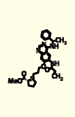 C=CC(=O)Nc1cc2c(N[C@H](C)c3ccccc3)ncnc2cc1OCCCN1CCC[C@@H]1C(=O)OC